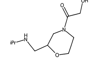 CC(C)NCC1CN(C(=O)CO)CCO1